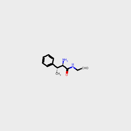 C[C@H](c1ccccc1)[C@@H](N)C(=O)NCC=O